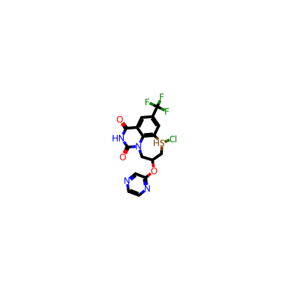 O=c1[nH]c(=O)n2c3c(cc(C(F)(F)F)cc13)[SH](Cl)CC(Oc1cnccn1)C2